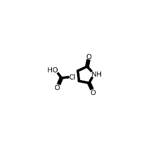 O=C(O)Cl.O=C1CCC(=O)N1